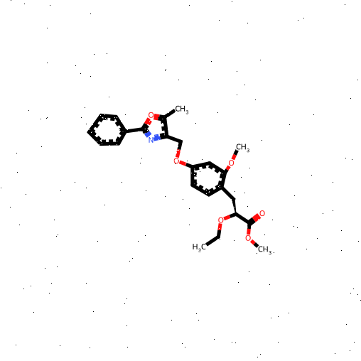 CCO[C@@H](Cc1ccc(OCc2nc(-c3ccccc3)oc2C)cc1OC)C(=O)OC